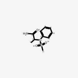 CC(C(N)=O)N(c1ccccc1)S(C)(=O)=O